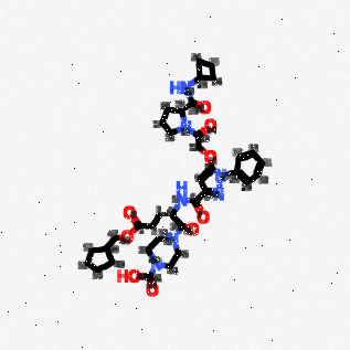 O=C(CC[C@H](NC(=O)c1cc(OCC(=O)N2CCC[C@H]2C(=O)NC2CCC2)n(-c2ccccc2)n1)C(=O)N1CCN(C(=O)O)CC1)OCC1CCCC1